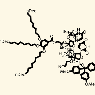 CCCCCCCCCCCCCCCCCCOc1cc(C(=O)OCC(=O)O[C@@]2(O)[C@@H](COP(=O)(OCCC#N)[C@@]3(O)[C@@H](COC(c4ccccc4)(c4ccc(OC)cc4)c4ccc(OC)cc4)O[C@@H](n4ccc(=O)[nH]c4=O)[C@@H]3O[Si](C)(C)C(C)(C)C)O[C@@H](n3ccc(=O)[nH]c3=O)[C@@H]2O[Si](C)(C)C(C)(C)C)cc(OCCCCCCCCCCCCCCCCCC)c1OCCCCCCCCCCCCCCCCCC